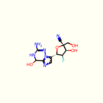 N#C[C@]1(CO)O[C@@H](c2cnc3n2N=C(N)NC3O)[C@H](F)[C@@H]1O